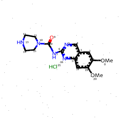 COc1cc2cnc(NC(=O)N3CCNCC3)nc2cc1OC.Cl